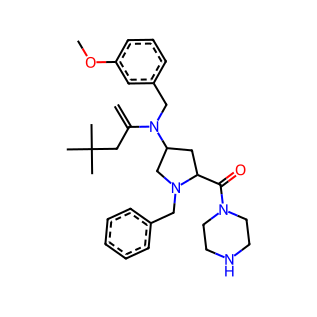 C=C(CC(C)(C)C)N(Cc1cccc(OC)c1)C1CC(C(=O)N2CCNCC2)N(Cc2ccccc2)C1